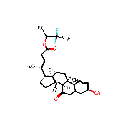 C[C@H](CCC(=O)OC(C(F)(F)F)C(F)(F)S(=O)(=O)O)[C@H]1CC[C@H]2[C@@H]3C(=O)CC4C[C@H](O)CC[C@]4(C)[C@H]3CC[C@]12C